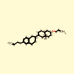 C=CCCc1ccc2c(c1)CCC(C1CCC3C[C@H](OCC=C)CC[C@@H]3C1)C2